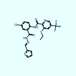 CCSc1cc(C(F)(F)F)cnc1C(=O)Nc1ccc(Cl)cc1C(=O)NN=Cc1cccs1